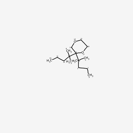 CCCC(C)(C)C1(C(C)(C)CCC)COCCO1